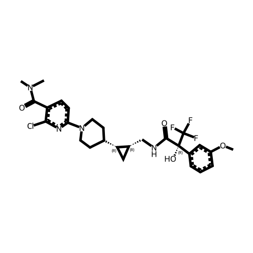 COc1cccc([C@@](O)(C(=O)NC[C@@H]2C[C@@H]2C2CCN(c3ccc(C(=O)N(C)C)c(Cl)n3)CC2)C(F)(F)F)c1